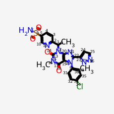 CC(c1ccc(S(N)(=O)=O)cn1)n1c(=O)n(C)c(=O)c2c1nc(-c1ccnn1C)n2-c1ccc(Cl)cc1